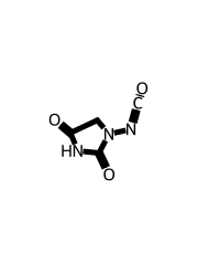 O=C=NN1CC(=O)NC1=O